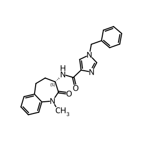 CN1C(=O)[C@@H](NC(=O)c2cn(Cc3ccccc3)cn2)CCc2ccccc21